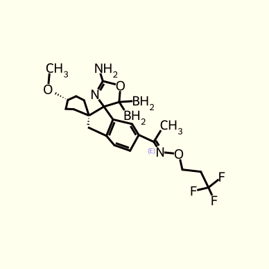 BC1(B)OC(N)=NC12c1cc(/C(C)=N/OCCC(F)(F)F)ccc1C[C@]21CC[C@@H](OC)CC1